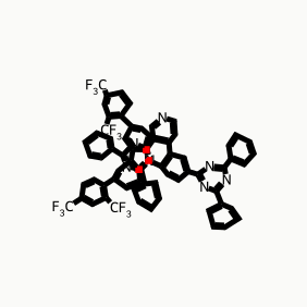 FC(F)(F)c1ccc(-c2ccc3c(c2)c2cc(-c4ccc(C(F)(F)F)cc4C(F)(F)F)ccc2n3-c2ccc(-c3nc(-c4ccccc4)nc(-c4ccccc4)n3)cc2-c2ccncc2-c2nc(-c3ccccc3)nc(-c3ccccc3)n2)c(C(F)(F)F)c1